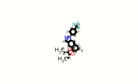 C=C[C@H]1OC2(CCCC3=Cc4c(cnn4-c4ccc(C(F)(F)F)cc4)C[C@@]32C)O[C@@H]1C=C